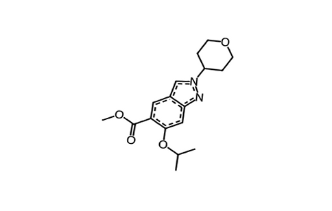 COC(=O)c1cc2cn(C3CCOCC3)nc2cc1OC(C)C